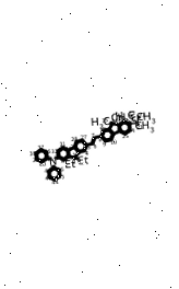 CCC1(CC)c2cc(/C=C/c3ccc4c(c3)C(C)(C)c3cc([Si](C)(C)C)ccc3-4)ccc2-c2ccc(N(c3ccccc3)c3ccccc3)cc21